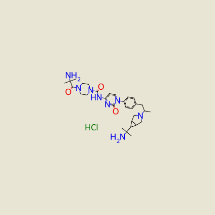 CC(Cc1ccc(-n2ccc(NC(=O)N3CCN(C(=O)C(C)(C)N)CC3)nc2=O)cc1)N1CC2C(C1)C2C(C)(C)N.Cl